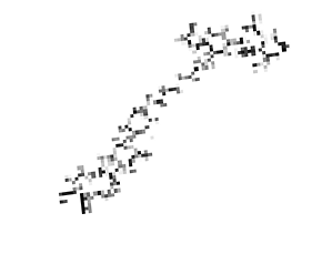 Cc1cncc(Cl)c1NC(=O)c1ccc(OC(F)F)c(OCCCCCCCN2CCC(c3cc4c(cc3F)C(=O)N(C3CCC(=O)NC3=O)C4)CC2)c1